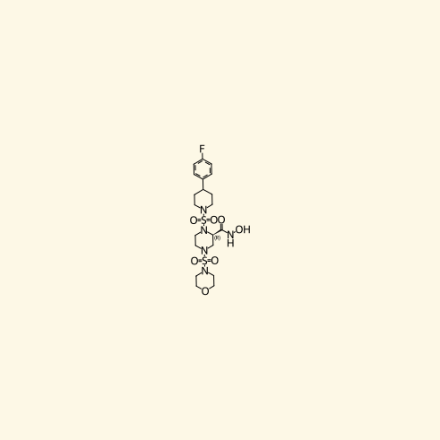 O=C(NO)[C@H]1CN(S(=O)(=O)N2CCOCC2)CCN1S(=O)(=O)N1CCC(c2ccc(F)cc2)CC1